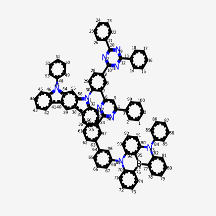 c1ccc(-c2cc(-c3cc(-c4nc(-c5ccccc5)nc(-c5ccccc5)n4)ccc3-n3c4ccccc4c4cc5c6ccccc6n(-c6ccccc6)c5cc43)nc(-c3cccc(-c4cccc(N5c6ccccc6B6c7ccccc7N(c7ccccc7)c7cccc5c76)c4)c3)n2)cc1